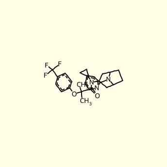 CC(C)(Oc1ccc(C(F)(F)F)cc1)C(=O)N(C1CC1)C1CC2CCC(C1)N2c1ccccn1